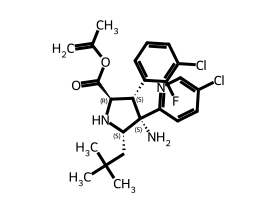 C=C(C)OC(=O)[C@@H]1N[C@@H](CC(C)(C)C)[C@](N)(c2ccc(Cl)cn2)[C@H]1c1cccc(Cl)c1F